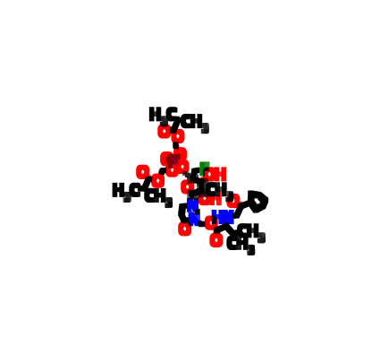 CC(C)C(=O)OCOP(=O)(OCOC(=O)C(C)C)OC[C@@]1(CF)O[C@@H](N2C=CC(=O)N(COC(=O)C(NCC(=O)c3ccccc3)C(C)C)C2)[C@](C)(O)[C@@H]1O